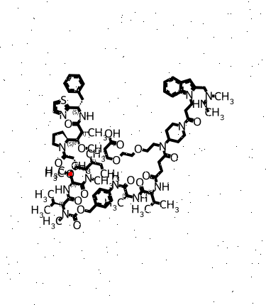 CC[C@H](C)[C@@H]([C@@H](CC(=O)N1CCC[C@H]1[C@H](OC)[C@@H](C)C(=O)N[C@@H](Cc1ccccc1)c1nccs1)OC)N(C)C(=O)[C@@H](NC(=O)[C@H](C(C)C)N(C)C(=O)OCc1ccc(NC(=O)[C@H](C)NC(=O)[C@@H](NC(=O)CCC(=O)N(CCOCCOCCC(=O)O)C2CCN(C(=O)CCn3c(CN(C)NC)cc4ccccc43)CC2)C(C)C)cc1)C(C)C